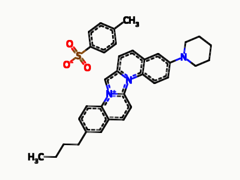 CCCCc1ccc2c(ccc3n4c(ccc5cc(N6CCCCC6)ccc54)c[n+]23)c1.Cc1ccc(S(=O)(=O)[O-])cc1